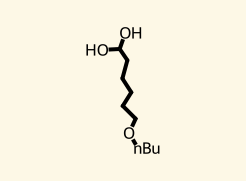 CCCCOCCCCCC(O)O